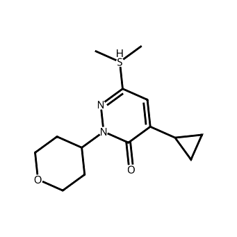 C[SH](C)c1cc(C2CC2)c(=O)n(C2CCOCC2)n1